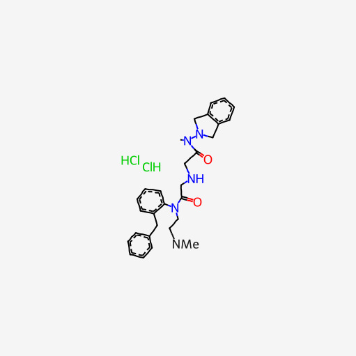 CNCCN(C(=O)CNCC(=O)N(C)N1Cc2ccccc2C1)c1ccccc1Cc1ccccc1.Cl.Cl